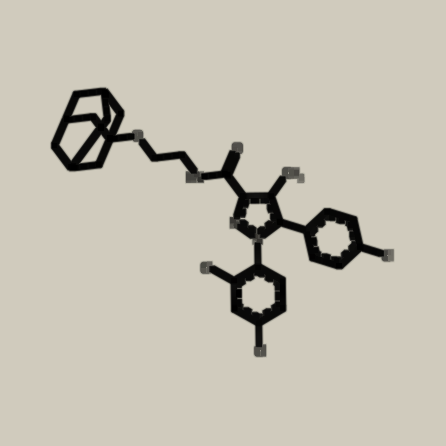 Cc1c(C(=O)NCCOC23CC4CC(CC(C4)C2)C3)nn(-c2ccc(Cl)cc2Cl)c1-c1ccc(Cl)cc1